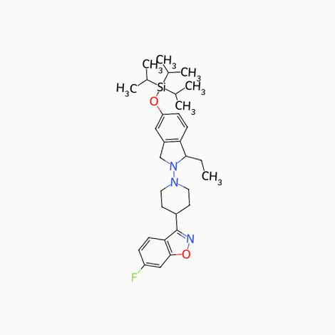 CCC1c2ccc(O[Si](C(C)C)(C(C)C)C(C)C)cc2CN1N1CCC(c2noc3cc(F)ccc23)CC1